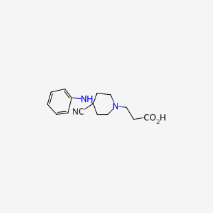 N#CC1(Nc2ccccc2)CCN(CCC(=O)O)CC1